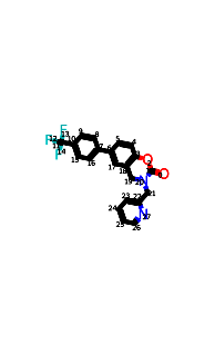 O=C1Oc2ccc(-c3ccc(C(F)(F)F)cc3)cc2CN1Cc1ccccn1